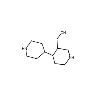 OCC1CNCCC1C1CCNCC1